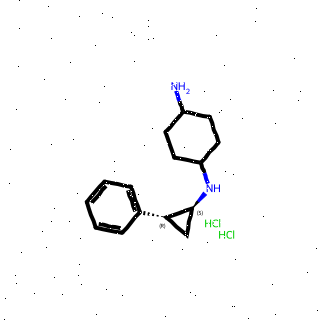 Cl.Cl.NC1CCC(N[C@H]2C[C@@H]2c2ccccc2)CC1